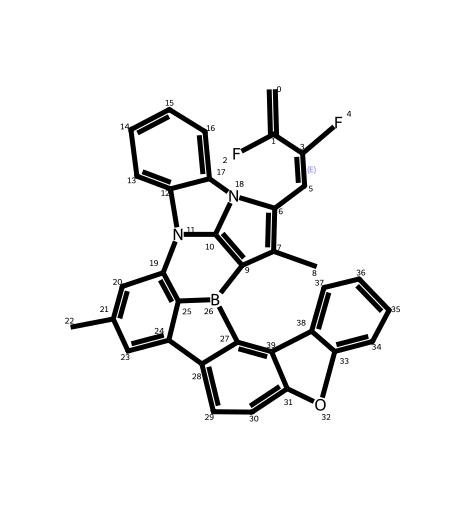 C=C(F)/C(F)=C\c1c(C)c2c3n(c4ccccc4n13)-c1cc(C)cc3c1B2c1c-3ccc2oc3ccccc3c12